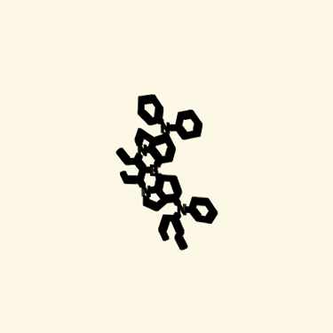 C=C/C=C(\C=C/C)N(c1ccccc1)c1ccc2c3c1ccn3/C(=C/C)C1=C(C=C)n3ccc4c(N(c5ccccc5)c5ccccc5)ccc(c43)B12